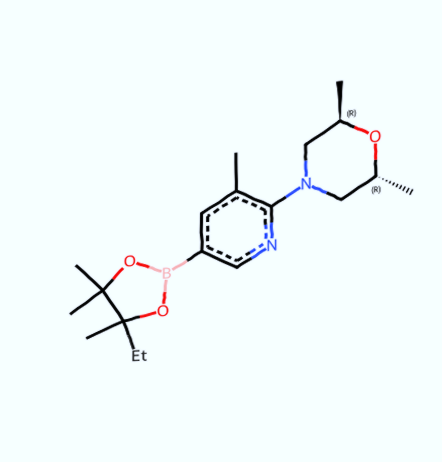 CCC1(C)OB(c2cnc(N3C[C@@H](C)O[C@H](C)C3)c(C)c2)OC1(C)C